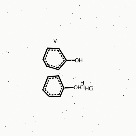 Cl.Cl.Oc1ccccc1.Oc1ccccc1.[V]